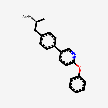 CC(=O)N[C@@H](C)Cc1ccc(-c2ccc(Oc3ccccc3)nc2)cc1